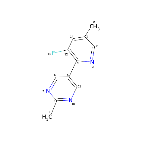 Cc1cnc(-c2cnc(C)nc2)c(F)c1